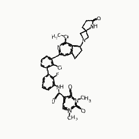 COc1nc(-c2cccc(-c3cccc(NC(=O)c4cn(C)c(=O)n(C)c4=O)c3F)c2Cl)cc2c1C(N1CC3(CCC(=O)N3)C1)CC2